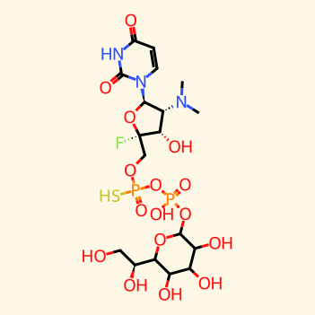 CN(C)[C@H]1[C@H](n2ccc(=O)[nH]c2=O)O[C@](F)(COP(=O)(S)OP(=O)(O)OC2OC([C@@H](O)CO)C(O)C(O)C2O)[C@H]1O